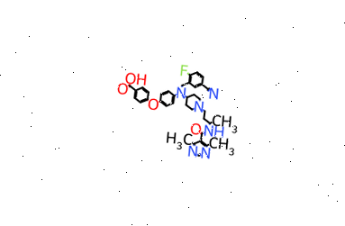 Cc1ncnc(C)c1C(=O)NC(C)CCN1CCC(N(Cc2cc(C#N)ccc2F)c2ccc(Oc3ccc(C(=O)O)cc3)cc2)CC1